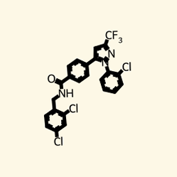 O=C(NCc1ccc(Cl)cc1Cl)c1ccc(-c2cc(C(F)(F)F)nn2-c2ccccc2Cl)cc1